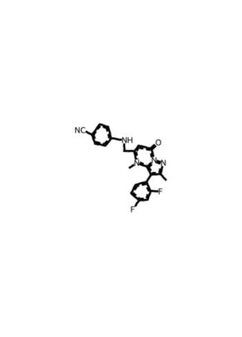 Cc1nn2c(=O)cc(CNc3ccc(C#N)cc3)n(C)c2c1-c1ccc(F)cc1F